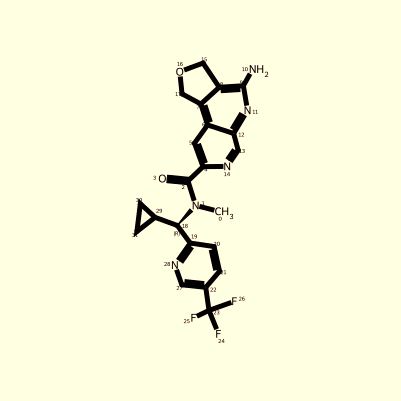 CN(C(=O)c1cc2c3c(c(N)nc2cn1)COC3)[C@@H](c1ccc(C(F)(F)F)cn1)C1CC1